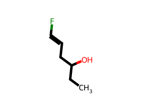 CCC(O)CC=CF